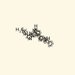 CN1CCN(c2ccnc3[nH]c(-c4n[nH]c5ccc(-c6cncc(NC(=O)CC7CCCCC7)c6)nc45)nc23)CC1